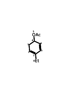 CCC1=CCC(OC(C)=O)C=C1